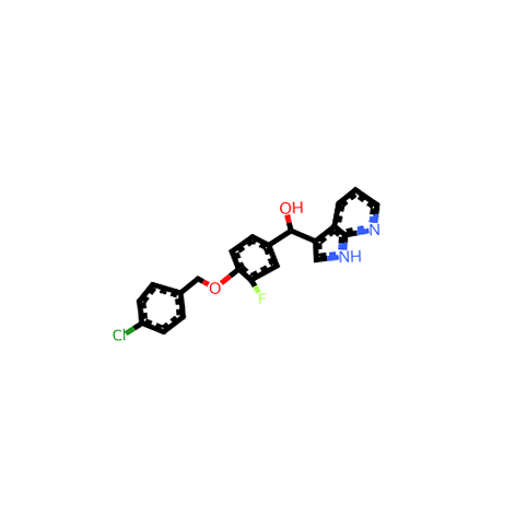 OC(c1ccc(OCc2ccc(Cl)cc2)c(F)c1)c1c[nH]c2ncccc12